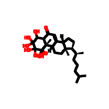 CC(C)CCC[C@@H](C)[C@H]1CC[C@H]2C3=CC(=O)C4C(O)C(O)(O)C(O)(O)C(O)(O)[C@]4(C)[C@H]3CC[C@]12C